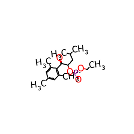 CCO[P](=O)OC(CC(C)C)C(=O)c1c(C)cc(C)cc1C